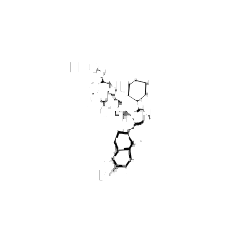 COC(=O)NN(C(=O)[C@@H]1CCCC[C@@H]1c1ncc(-c2ccc3cc(Br)ccc3c2)[nH]1)C(C)C